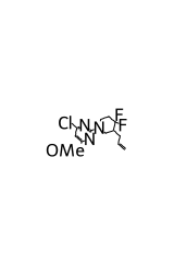 C=CCC1CN(c2nc(Cl)cc(OC)n2)CCC1(F)F